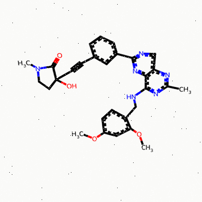 COc1ccc(CNc2nc(C)nc3cnc(-c4cccc(C#CC5(O)CCN(C)C5=O)c4)nc23)c(OC)c1